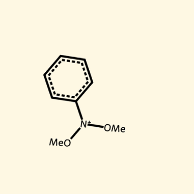 CO[N+](OC)c1ccccc1